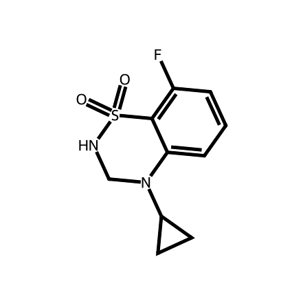 O=S1(=O)NCN(C2CC2)c2cccc(F)c21